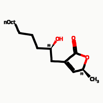 CCCCCCCCCCC[C@H](O)CC1=C[C@H](C)OC1=O